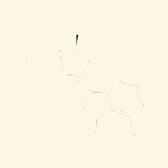 C[C@@]1(O)[C@H](O)[C@@H](CO)O[C@H]1n1cc(I)c2c(N)ncnc21